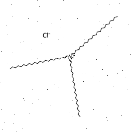 CCCCCCCCCCCCCCCCCCCCC=C[N+](C)(C=CCCCCCCCCCCCCCCCCCCCC)C=CCCCCCCCCCCCCCCCCCCCC.[Cl-]